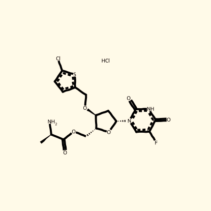 C[C@@H](N)C(=O)OC[C@H]1O[C@@H](n2cc(F)c(=O)[nH]c2=O)C[C@@H]1OCc1ccc(Cl)s1.Cl